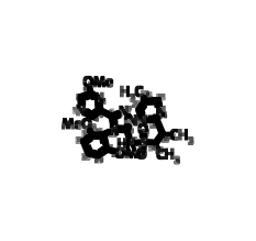 COc1cncc(-c2nnc(NS(=O)(=O)[C@@H](C)[C@H](C)c3ncc(C)cn3)n2-c2c(OC)cccc2OC)n1